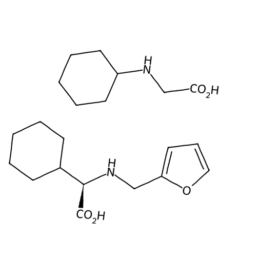 O=C(O)CNC1CCCCC1.O=C(O)[C@H](NCc1ccco1)C1CCCCC1